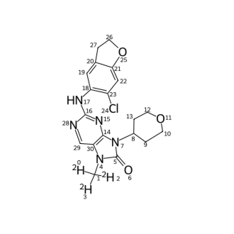 [2H]C([2H])([2H])n1c(=O)n(C2CCOCC2)c2nc(Nc3cc4c(cc3Cl)OCC4)ncc21